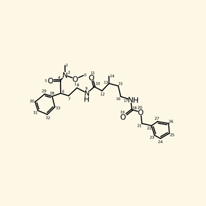 CON(C)C(=O)C(CCNC(=O)CC(C)CCNC(=O)OCc1ccccc1)c1ccccc1